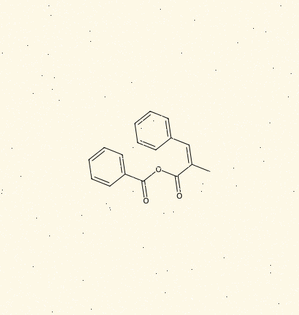 CC(=Cc1ccccc1)C(=O)OC(=O)c1ccccc1